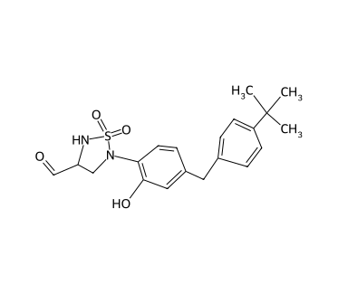 CC(C)(C)c1ccc(Cc2ccc(N3CC(C=O)NS3(=O)=O)c(O)c2)cc1